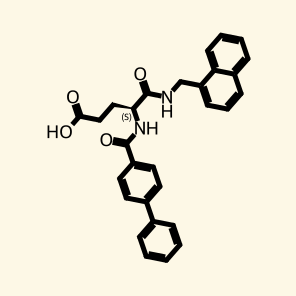 O=C(O)CC[C@H](NC(=O)c1ccc(-c2ccccc2)cc1)C(=O)NCc1cccc2ccccc12